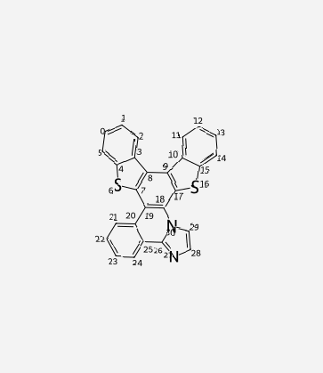 c1ccc2c(c1)sc1c2c2c3ccccc3sc2c2c1c1ccccc1c1nccn12